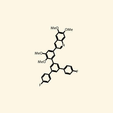 COc1cc2cc(-c3cc(OC)c(OC)c(-c4cc(-c5ccc(F)cc5)cc(-c5ccc(F)cc5)c4)c3)cnc2cc1OC